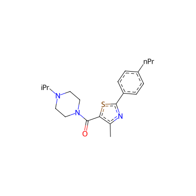 CCCc1ccc(-c2nc(C)c(C(=O)N3CCN(C(C)C)CC3)s2)cc1